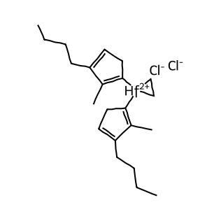 CCCCC1=CC[C]([Hf+2]2([C]3=C(C)C(CCCC)=CC3)[CH2][CH2]2)=C1C.[Cl-].[Cl-]